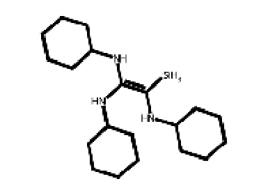 [SiH3]C(NC1CCCCC1)=C(NC1CCCCC1)NC1CCCCC1